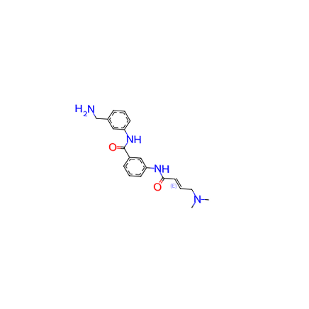 CN(C)C/C=C/C(=O)Nc1cccc(C(=O)Nc2cccc(CN)c2)c1